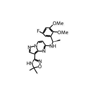 COc1cc(F)cc([C@@H](C)Nc2ccn3ncc(C4=NOC(C)(C)N4)c3n2)c1OC